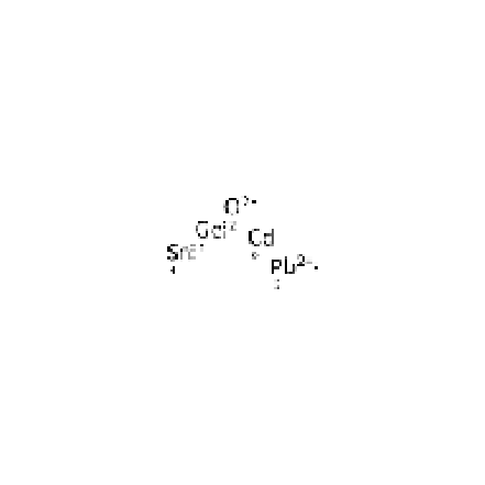 [Cd].[Ge].[O-2].[Pb+2].[Sn]